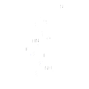 C=C/C(N)=C(F)\C=C(\F)CNC(=O)C1=CC=C[C@H](C(C)(C)C#N)C1